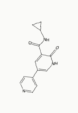 O=C(NC1CC1)c1cc(-c2ccncc2)c[nH]c1=O